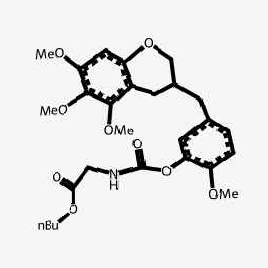 CCCCOC(=O)CNC(=O)Oc1cc(CC2COc3cc(OC)c(OC)c(OC)c3C2)ccc1OC